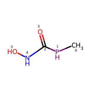 CPC(=O)NO